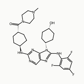 CN1CCN(C(=O)[C@H]2CC[C@H](Nc3ncc4nc(Nc5c(F)cc(F)cc5F)n([C@H]5CC[C@@H](O)CC5)c4n3)CC2)CC1